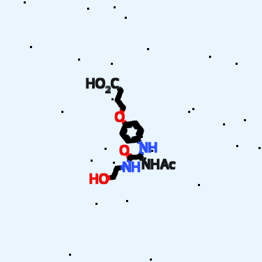 CC(=O)NC(Nc1ccc(OCCCC(=O)O)cc1)C(=O)NCCO